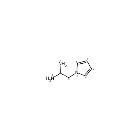 NC(N)Cn1cccc1